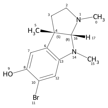 CN1CC[C@@]2(C)c3cc(O)c(Br)cc3N(C)[C@@H]12